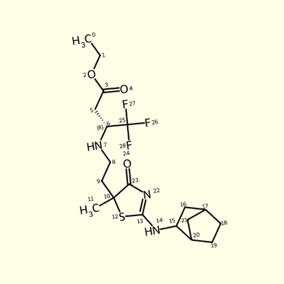 CCOC(=O)C[C@@H](NCCC1(C)SC(NC2CC3CCC2C3)=NC1=O)C(F)(F)F